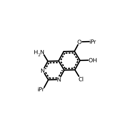 CC(C)Oc1cc2c(N)nc(C(C)C)nc2c(Cl)c1O